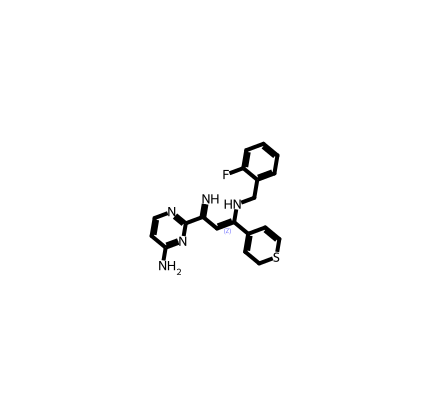 N=C(/C=C(\NCc1ccccc1F)C1=CCSC=C1)c1nccc(N)n1